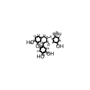 CCCCc1ccc(O)cc1.C[C@H](Cc1ccc(O)c(O)c1)[C@@H](C)Cc1ccc(O)c(O)c1